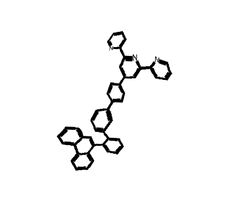 c1ccc(-c2cc(-c3ccc(-c4cccc(-c5ccccc5-c5cc6ccccc6c6ccccc56)c4)cc3)cc(-c3ccccn3)n2)nc1